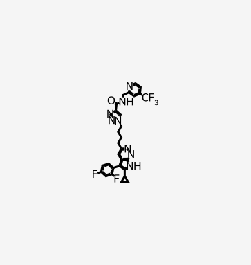 O=C(NCc1cc(C(F)(F)F)ccn1)c1cn(CCCCc2cc3c(-c4ccc(F)cc4F)c(C4CC4)[nH]c3nn2)nn1